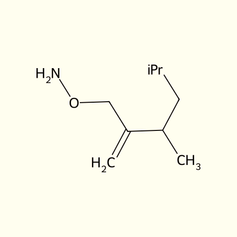 C=C(CON)C(C)CC(C)C